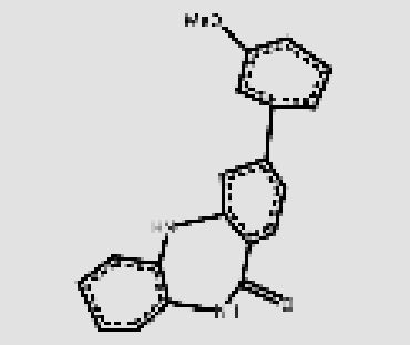 COc1[c]ccc(-c2ccc3c(c2)Nc2ccccc2NC3=O)c1